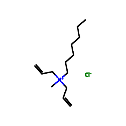 C=CC[N+](C)(CC=C)CCCCCCC.[Cl-]